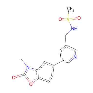 Cn1c(=O)oc2ccc(-c3cncc(CNS(=O)(=O)C(F)(F)F)c3)cc21